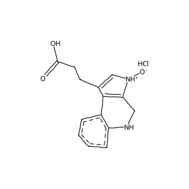 Cl.O=C(O)CCC1=C[NH+]([O-])C2=C1c1ccccc1NC2